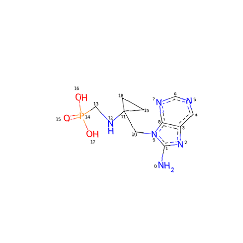 Nc1nc2cncnc2n1CC1(NCP(=O)(O)O)CC1